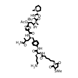 CC[C@H](C)[C@H](NC(=O)[C@H]1CCCCN1C)C(=O)N(C)[C@H](C[C@@H](OC(C)=O)c1nc(C(=O)N[C@@H](Cc2ccc(NC(=O)[C@H](CCCCN)NC(=O)CCCCCN3C(=O)CC(SC)C3=O)cc2)CC(C)C(N)=O)cs1)C(C)C